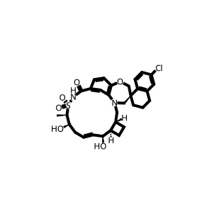 C[C@@H]1[C@H](O)C/C=C/[C@H](O)[C@@H]2CC[C@H]2CN2C[C@@]3(CCCc4cc(Cl)ccc43)COc3ccc(cc32)C(=O)NS1(=O)=O